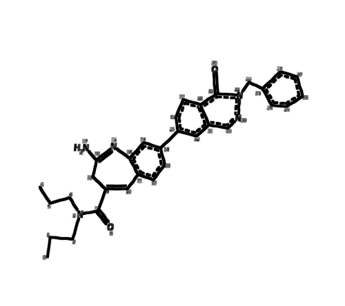 CCCN(CCC)C(=O)C1=Cc2ccc(-c3ccc4c(=O)n(Cc5ccccc5)ncc4c3)cc2N=C(N)C1